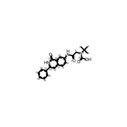 CC(C)(C)N(CC(=O)Nc1ccc2cc(-c3ccccc3)[nH]c(=O)c2c1)C(=O)O